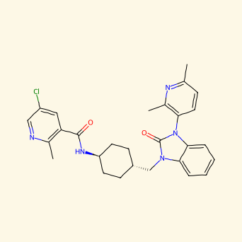 Cc1ccc(-n2c(=O)n(C[C@H]3CC[C@H](NC(=O)c4cc(Cl)cnc4C)CC3)c3ccccc32)c(C)n1